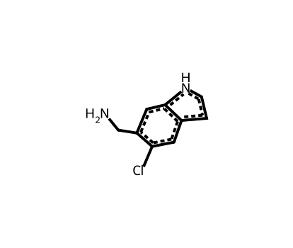 NCc1cc2[nH]ccc2cc1Cl